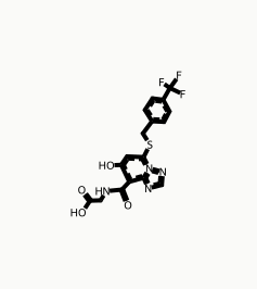 O=C(O)CNC(=O)c1c(O)cc(SCc2ccc(C(F)(F)F)cc2)n2ncnc12